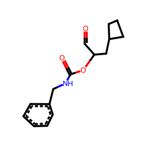 O=CC(CC1CCC1)OC(=O)NCc1ccccc1